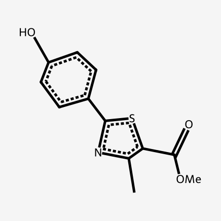 COC(=O)c1sc(-c2ccc(O)cc2)nc1C